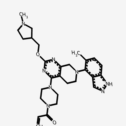 C=CC(=O)N1CCN(c2nc(OCC3CCN(C)C3)nc3c2CCN(c2c(C)ccc4[nH]ncc24)C3)CC1